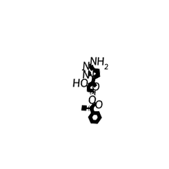 C#C[C@@H](C(=O)OC[C@@H]1CC(O)=C(c2ccc3c(N)ncnn23)O1)C1CCCCC1